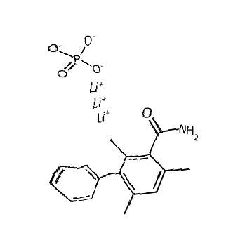 Cc1cc(C)c(-c2ccccc2)c(C)c1C(N)=O.O=P([O-])([O-])[O-].[Li+].[Li+].[Li+]